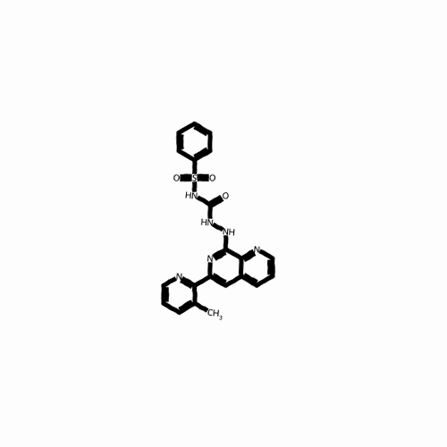 Cc1cccnc1-c1cc2cccnc2c(NNC(=O)NS(=O)(=O)c2ccccc2)n1